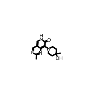 Cc1ncc2c[nH]c(=O)c(N3CCC(C)(O)CC3)c2n1